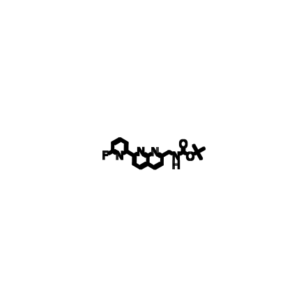 CC(C)(C)OC(=O)NCc1ccc2ccc(-c3cccc(F)n3)nc2n1